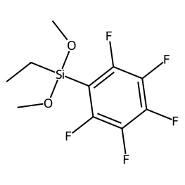 CC[Si](OC)(OC)c1c(F)c(F)c(F)c(F)c1F